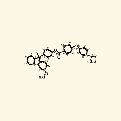 CC(C)(C)Oc1ccc(C(C)(c2ccccc2)c2ccc(OC(=O)c3ccc(Oc4ccc(C(=O)C(C)(C)C)cc4)cc3)cc2)cc1